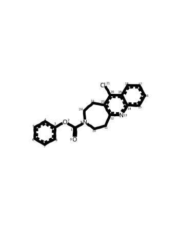 O=C(Oc1ccccc1)N1CCc2nc3ccccc3c(Cl)c2CC1